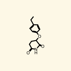 CCc1ccc(OC2CCC(=O)NC2=O)cc1